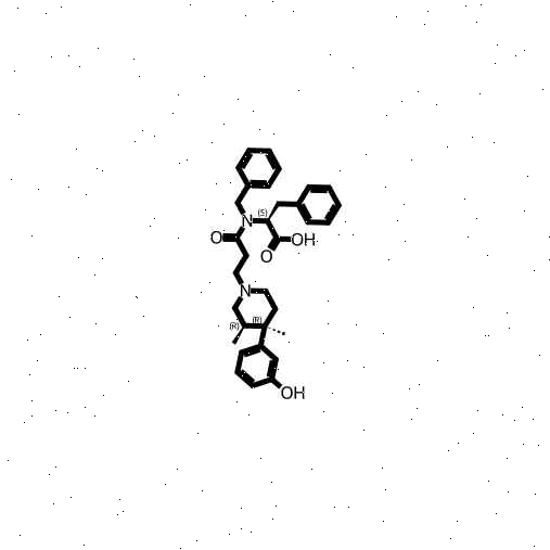 C[C@H]1CN(CCC(=O)N(Cc2ccccc2)[C@@H](Cc2ccccc2)C(=O)O)CC[C@@]1(C)c1cccc(O)c1